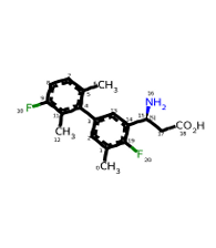 Cc1cc(-c2c(C)ccc(F)c2C)cc([C@@H](N)CC(=O)O)c1F